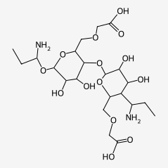 CCC(N)OC1OC(COCC(=O)O)C(OC2OC(COCC(=O)O)C(C(N)CC)C(O)C2O)C(O)C1O